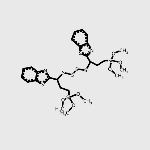 CO[Si](CCC(SSSSC(CC[Si](OC)(OC)OC)c1nc2ccccc2s1)c1nc2ccccc2s1)(OC)OC